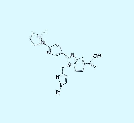 C=C(O)c1ccc2c(c1)nc(-c1ccc(N3CCC[C@@H]3C)nc1)n2Cc1ccn(CC)n1